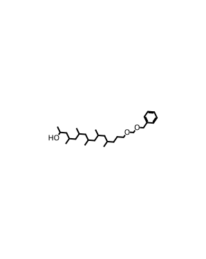 CC(O)CC(C)CC(C)CC(C)CC(C)CC(C)CCCOCOCc1ccccc1